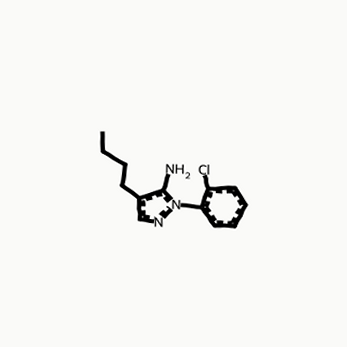 CCCCc1cnn(-c2ccccc2Cl)c1N